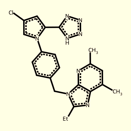 CCc1nc2c(C)cc(C)nc2n1Cc1ccc(-n2cc(Cl)cc2-c2nnn[nH]2)cc1